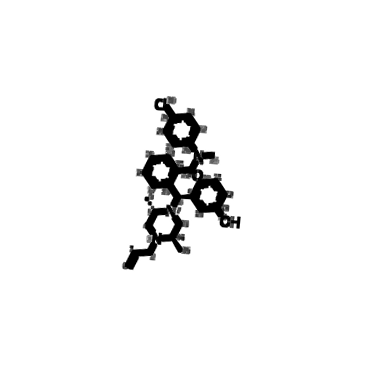 C=CCN1C[C@H](C)N([C@H](c2cccc(O)c2)c2ccccc2C(=O)N(C)c2ccc(Cl)cc2)C[C@H]1C